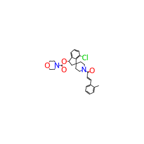 Cc1ccccc1/C=C/C(=O)N1CCC2(CC1)CC(OC(=O)N1CCOCC1)c1cccc(Cl)c12